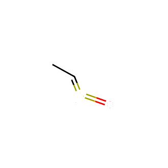 [CH2]C=S=O